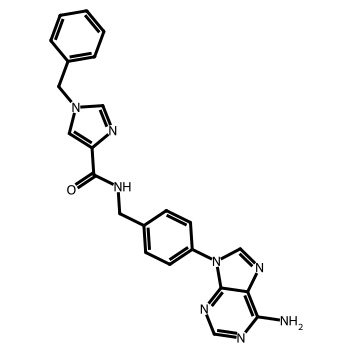 Nc1ncnc2c1ncn2-c1ccc(CNC(=O)c2cn(Cc3ccccc3)cn2)cc1